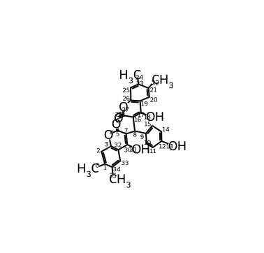 Cc1cc2oc(=O)c(C(c3ccc(O)cc3)c3c(O)c4cc(C)c(C)cc4oc3=O)c(O)c2cc1C